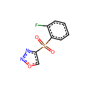 O=S(=O)(c1conn1)c1ccccc1F